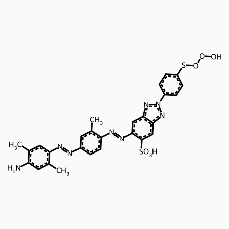 Cc1cc(N=Nc2ccc(N=Nc3cc4nn(-c5ccc(SOOO)cc5)nc4cc3S(=O)(=O)O)c(C)c2)c(C)cc1N